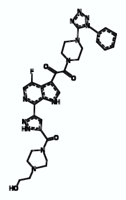 O=C(C(=O)N1CCN(c2nnnn2-c2ccccc2)CC1)c1c[nH]c2c(-c3cc(C(=O)N4CCN(CCO)CC4)[nH]n3)ncc(F)c12